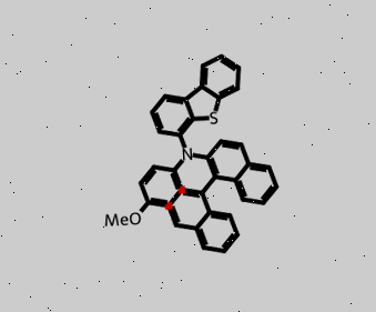 COc1ccc(N(c2ccc3ccccc3c2-c2cccc3ccccc23)c2cccc3c2sc2ccccc23)cc1